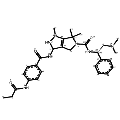 CCC(=O)Nc1ccc(C(=O)NC2NN(C)C3=C2CN(C(=O)N[C@H](CN(C)C)c2ccccc2)C3(C)C)cc1